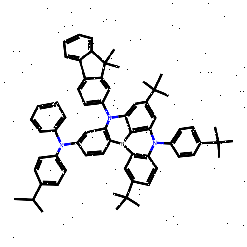 CC(C)c1ccc(N(c2ccccc2)c2ccc3c(c2)N(c2ccc4c(c2)C(C)(C)c2ccccc2-4)c2cc(C(C)(C)C)cc4c2B3c2cc(C(C)(C)C)ccc2N4c2ccc(C(C)(C)C)cc2)cc1